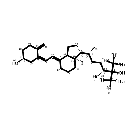 [2H]C([2H])([2H])C(O)([C@H](O)CC[C@@H](C)[C@H]1CCC2C(=C/C=C3/C[C@@H](O)CCC3=C)CCC[C@@]21C)C([2H])([2H])[2H]